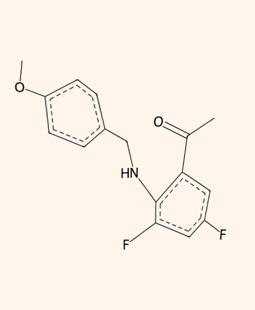 COc1ccc(CNc2c(F)cc(F)cc2C(C)=O)cc1